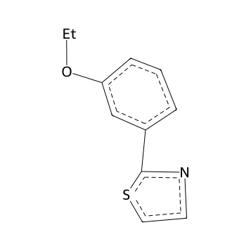 CCOc1cccc(-c2nccs2)c1